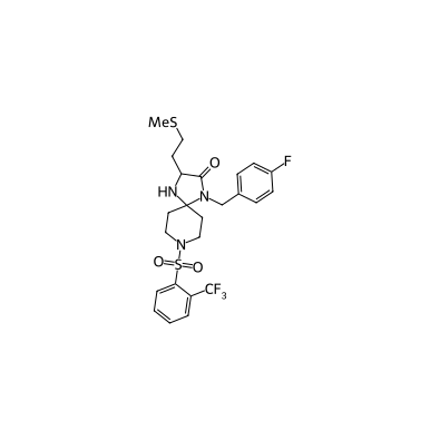 CSCCC1NC2(CCN(S(=O)(=O)c3ccccc3C(F)(F)F)CC2)N(Cc2ccc(F)cc2)C1=O